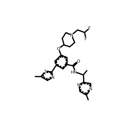 Cc1cnc(C(C)NC(=O)c2cc(OC3CCN(CC(F)F)CC3)cc(-c3ncc(C)s3)c2)cn1